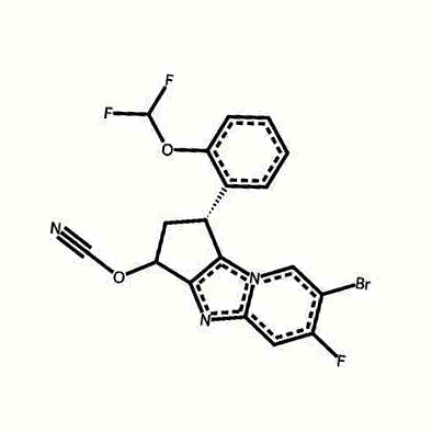 N#COC1C[C@H](c2ccccc2OC(F)F)c2c1nc1cc(F)c(Br)cn21